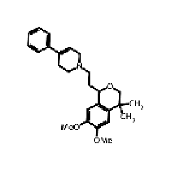 COc1cc2c(cc1OC)C(C)(C)COC2CCN1CC=C(c2ccccc2)CC1